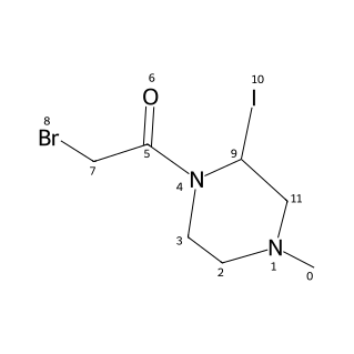 CN1CCN(C(=O)CBr)C(I)C1